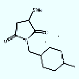 CSC1CC(=O)N(CC2CCC(C)CC2)C1=O